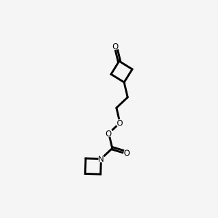 O=C1CC(CCOOC(=O)N2CCC2)C1